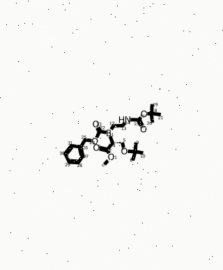 COC(=O)[C@@H](COC(C)(C)C)B(CCNC(=O)OC(C)(C)C)C(=O)OCc1ccccc1